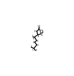 CC(C)CCCC(C)C1COC(C)C1